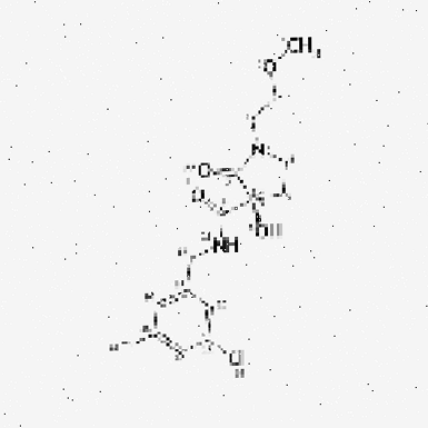 COCCN1CC[C@](O)(C(=O)NCc2cc(F)cc(Cl)c2)C1=O